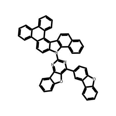 c1ccc2c(c1)ccc1c3c4c5ccccc5c5ccccc5c4ccc3n(-c3nc(-c4ccc5oc6ccccc6c5c4)c4oc5ccccc5c4n3)c21